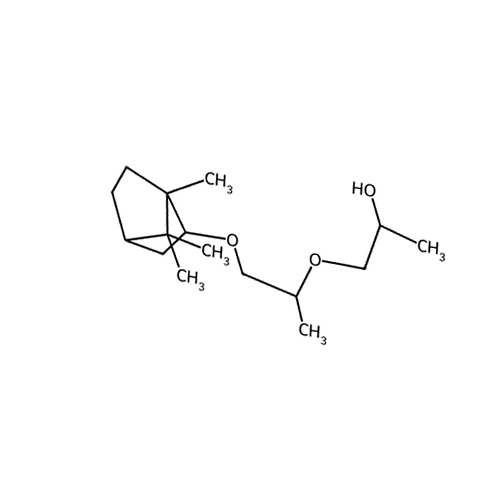 CC(O)COC(C)COC1CC2CCC1(C)C2(C)C